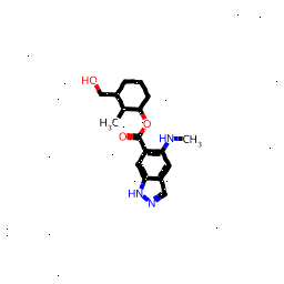 CNc1cc2cn[nH]c2cc1C(=O)OC1CCCC(CO)C1C